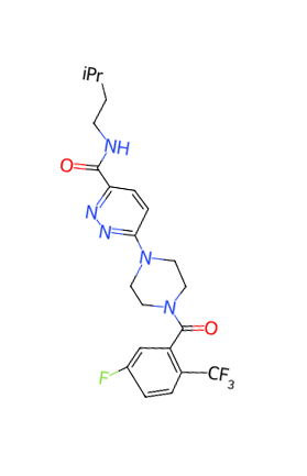 CC(C)CCNC(=O)c1ccc(N2CCN(C(=O)c3cc(F)ccc3C(F)(F)F)CC2)nn1